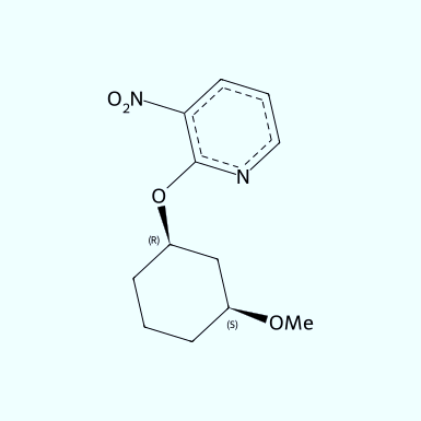 CO[C@H]1CCC[C@@H](Oc2ncccc2[N+](=O)[O-])C1